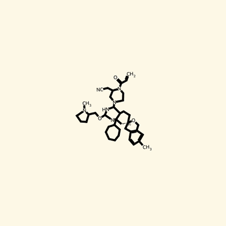 C=CC(=O)N1CCN(C2NC(OCC3CCCN3C)NC3(C4CCCCCC4)C[C@@]4(CCC23)Cc2ccc(C)cc2CO4)CC1CC#N